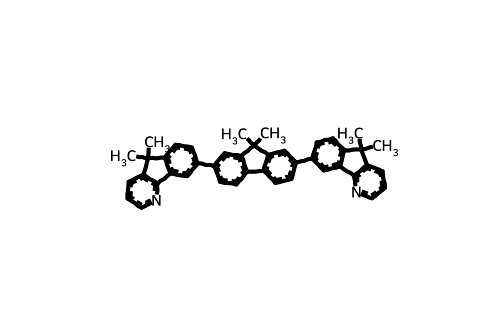 CC1(C)c2cc(-c3ccc4c(c3)-c3ncccc3C4(C)C)ccc2-c2ccc(-c3ccc4c(c3)-c3ncccc3C4(C)C)cc21